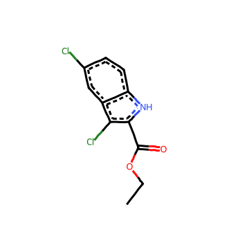 CCOC(=O)c1[nH]c2ccc(Cl)cc2c1Cl